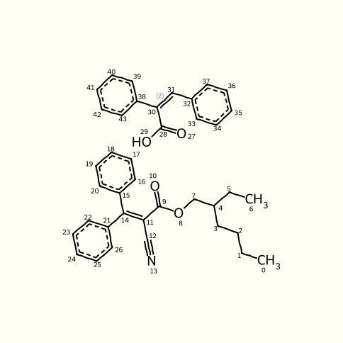 CCCCC(CC)COC(=O)C(C#N)=C(c1ccccc1)c1ccccc1.O=C(O)/C(=C\c1ccccc1)c1ccccc1